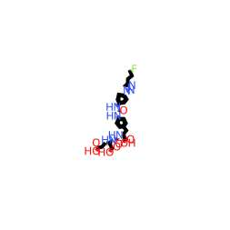 O=C(O)CC[C@H](NC(=O)NC(Cc1ccc(NC(=O)Nc2ccc(-n3cc(CCCF)nn3)cc2)cc1)C(=O)O)C(=O)O